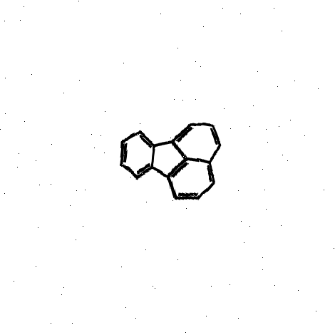 [c]1cc2c3c(c[c]cc3c1)-c1ccccc1-2